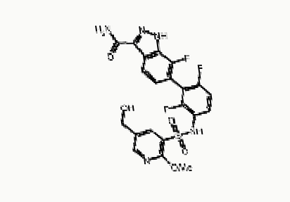 COc1ncc(CO)cc1S(=O)(=O)Nc1ccc(F)c(-c2ccc3c(C(N)=O)n[nH]c3c2F)c1F